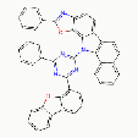 c1ccc(-c2nc(-c3cccc4c3oc3ccccc34)nc(-n3c4c5ccccc5ccc4c4ccc5nc(-c6ccccc6)oc5c43)n2)cc1